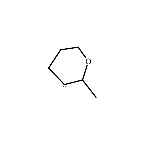 CC1[C]CCCO1